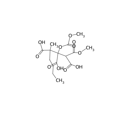 CCCCC(C)(C(=O)O)C(OC(=O)OC)(C(=O)O)C(C(=O)O)C(=O)OC